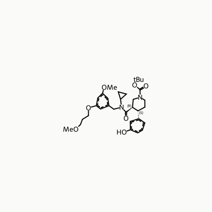 COCCCOc1cc(CN(C(=O)[C@H]2CN(C(=O)OC(C)(C)C)CC[C@@H]2c2cccc(O)c2)C2CC2)cc(OC)c1